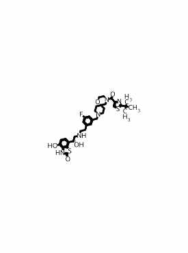 CC(C)(C)c1nc(C(=O)N2CCOC3(CCN(Cc4cc(F)cc(CCNC[C@H](O)c5ccc(O)c6[nH]c(=O)sc56)c4)CC3)C2)cs1